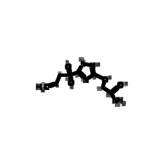 C=CCS(=O)(=O)c1nc(OCC(N)=O)ns1